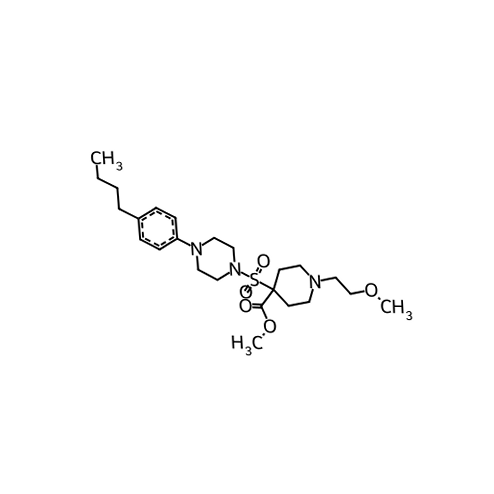 CCCCc1ccc(N2CCN(S(=O)(=O)C3(C(=O)OC)CCN(CCOC)CC3)CC2)cc1